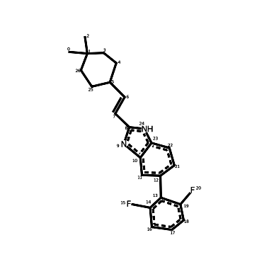 CC1(C)CCC(/C=C/c2nc3cc(-c4c(F)cccc4F)ccc3[nH]2)CC1